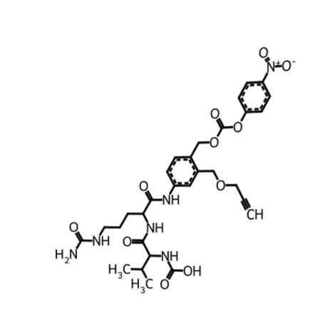 C#CCOCc1cc(NC(=O)C(CCCNC(N)=O)NC(=O)C(NC(=O)O)C(C)C)ccc1COC(=O)Oc1ccc([N+](=O)[O-])cc1